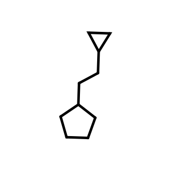 C1CCC(CCC2CC2)C1